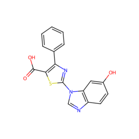 O=C(O)c1sc(-n2cnc3ccc(O)cc32)nc1-c1ccccc1